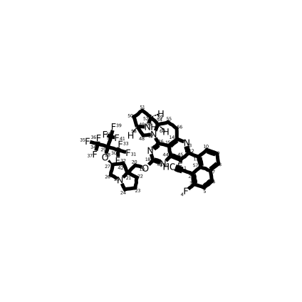 C#Cc1c(F)ccc2cccc(-c3nc4c5c(nc(OCC67CCCN6C[C@@H](OC(C(F)(F)F)(C(F)(F)F)C(F)(F)F)C7)nc5c3F)N3C[C@H]5CC[C@H](N5)[C@H]3CC4)c12